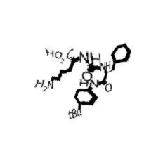 CC(C)(C)C1CCC(NC(=O)[C@@H](CC2CCCCC2)NC(=O)NC(CCCCN)C(=O)O)CC1